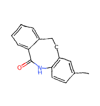 Cc1ccc2c(c1)CCc1ccccc1C(=O)N2